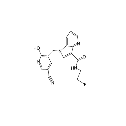 N#Cc1cnc(O)c(Cn2cc(C(=O)NCCF)c3ncccc32)c1